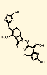 CSc1nnc(SC2=C(C(=O)O)N3C(=O)[C@@H](NC(=O)C(=NO)c4nc(N)sc4Cl)C3SC2)s1